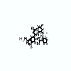 Cc1cc([C@H](C)Nc2ccccc2C(=O)O)c2nc(-c3ccc4c(c3)c(N)nn4C)cc(=O)n2c1